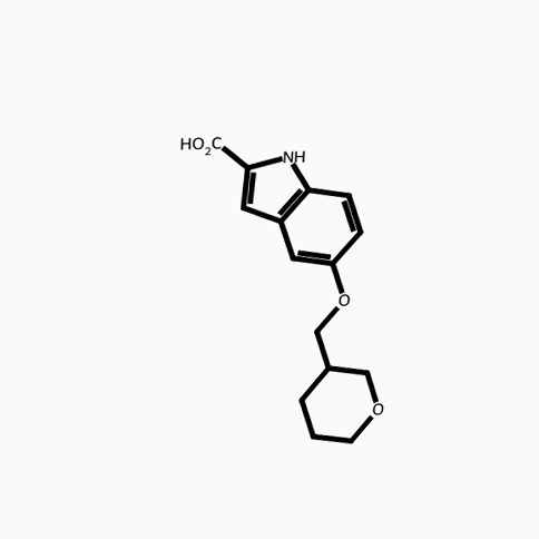 O=C(O)c1cc2cc(OCC3CCCOC3)ccc2[nH]1